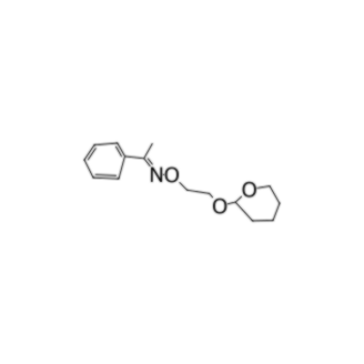 C/C(=N\OCCOC1CCCCO1)c1ccccc1